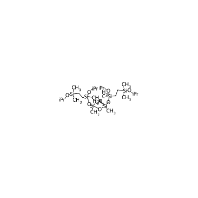 CC(C)O[Si](C)(C)CC[Si](C)(OC(C)C)O[Si](C)(C)O[Si](C)(C)O[Si](C)(CC[Si](C)(C)OC(C)C)OC(C)C